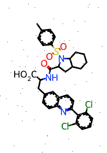 Cc1ccc(S(=O)(=O)N2C(C(=O)NC(Cc3ccc4nc(-c5c(Cl)cccc5Cl)ccc4c3)C(=O)O)CC3CCCCC32)cc1